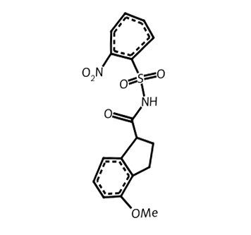 COc1cccc2c1CCC2C(=O)NS(=O)(=O)c1ccccc1[N+](=O)[O-]